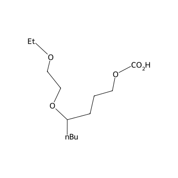 CCCCC(CCCOC(=O)O)OCCOCC